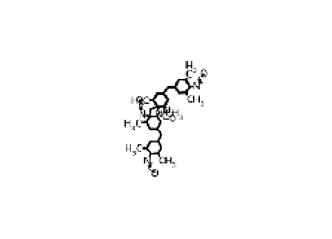 CC1CC(CC2CC(C)C(CC3(N=C=O)C(C)CC(CC4CC(C)C(N=C=O)C(C)C4)CC3C)(N=C=O)C(C)C2)CC(C)C1N=C=O